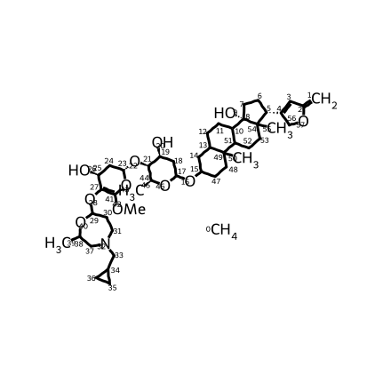 C.C=C1C=C([C@H]2CC[C@]3(O)C4CCC5CC(OC6C[C@H](O)[C@H](O[C@H]7C[C@H](O)C(OC8CCN(CC9CC9)CC(C)O8)=C(OC)O7)[C@H](C)O6)CCC5(C)C4CCC23C)CO1